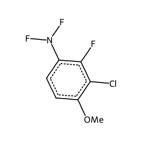 COc1ccc(N(F)F)c(F)c1Cl